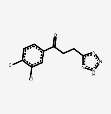 O=C(CCc1nn[nH]n1)c1ccc(Cl)c(Cl)c1